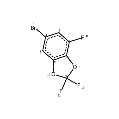 Fc1cc(Br)cc2c1OC(F)(F)O2